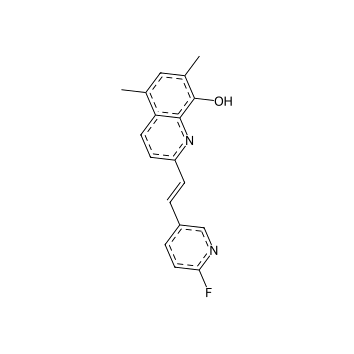 Cc1cc(C)c2ccc(C=Cc3ccc(F)nc3)nc2c1O